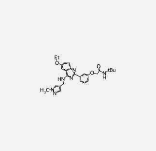 CCOc1ccc2nc(-c3cccc(OCC(=O)NC(C)(C)C)c3)nc(NCc3cnn(C)c3)c2c1